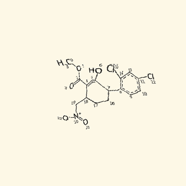 COC(=O)C1=C(O)C(c2ccc(Cl)cc2Cl)CCC1C[N+](=O)[O-]